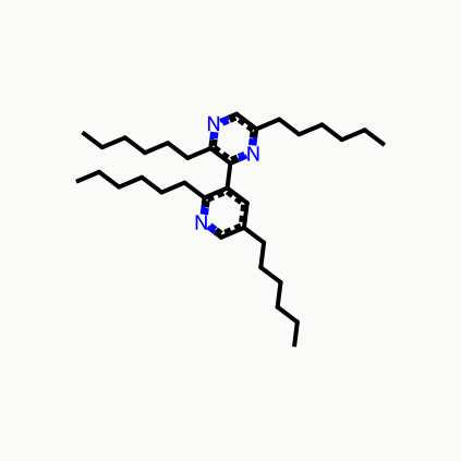 CCCCCCc1cnc(CCCCCC)c(-c2nc(CCCCCC)cnc2CCCCCC)c1